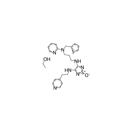 CCO.[O-][s+]1nc(NCCCN(Cc2cccs2)c2ccccn2)c(NCCc2ccncc2)n1